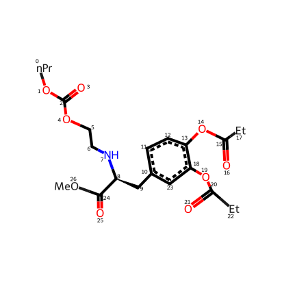 CCCOC(=O)OCCN[C@@H](Cc1ccc(OC(=O)CC)c(OC(=O)CC)c1)C(=O)OC